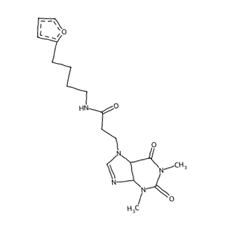 CN1C(=O)C2C(N=CN2CCC(=O)NCCCCc2ccco2)N(C)C1=O